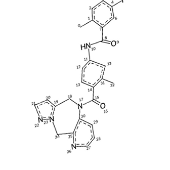 Cc1ccc(F)cc1C(=O)Nc1ccc(C(=O)N2Cc3ccnn3Cc3ncccc32)c(C)c1